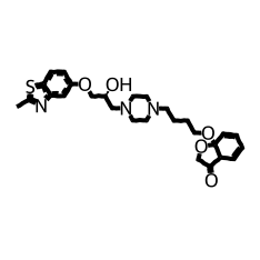 Cc1nc2cc(OC[C@H](O)CN3CCN(CCCCOC45C=CC=CC4C(=O)CO5)CC3)ccc2s1